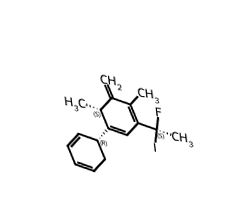 C=C1C(C)=C([C@@](C)(F)I)C=C([C@H]2C=CC=CC2)[C@@H]1C